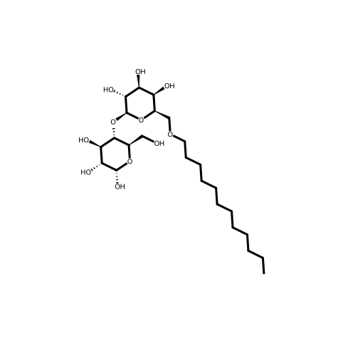 CCCCCCCCCCCCOC[C@H]1O[C@@H](O[C@H]2[C@H](O)[C@@H](O)[C@@H](O)O[C@@H]2CO)[C@H](O)[C@@H](O)[C@H]1O